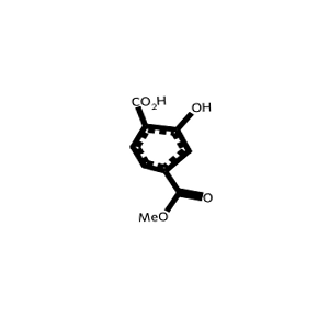 COC(=O)c1ccc(C(=O)O)c(O)c1